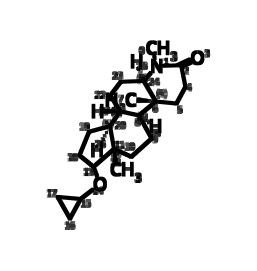 CN1C(=O)CC[C@]2(C)[C@H]3CC[C@]4(C)C(OC5CC5)CC[C@H]4[C@@H]3CC[C@@H]12